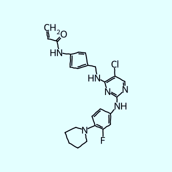 C=CC(=O)Nc1ccc(CNc2nc(Nc3ccc(N4CCCCC4)c(F)c3)ncc2Cl)cc1